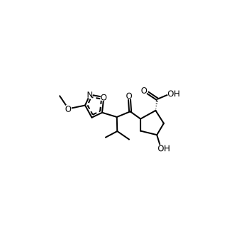 COc1cc(C(C(=O)C2CC(O)C[C@H]2C(=O)O)C(C)C)on1